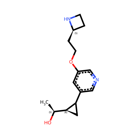 C[C@H](O)[C@@H]1CC1c1cncc(OCC[C@@H]2CCN2)c1